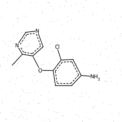 Cc1ncncc1Oc1ccc(N)cc1Cl